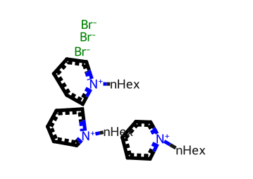 CCCCCC[n+]1ccccc1.CCCCCC[n+]1ccccc1.CCCCCC[n+]1ccccc1.[Br-].[Br-].[Br-]